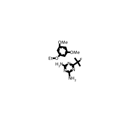 CC(C)(F)c1nc(N)nc(N)n1.CCOc1cc(OC)cc(OC)c1